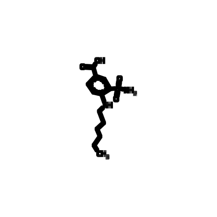 CCCCCCNc1ccc(C(=O)O)cc1S(N)(=O)=O